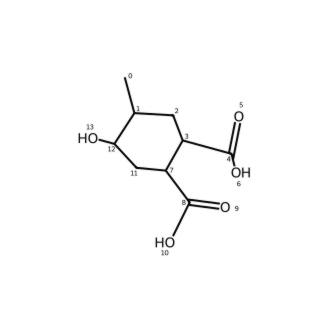 CC1CC(C(=O)O)C(C(=O)O)CC1O